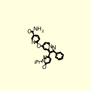 CC(C)n1nc(-c2c(-c3ccccc3)nn3ccc(Oc4ccc(C(N)=O)cn4)cc23)ccc1=O